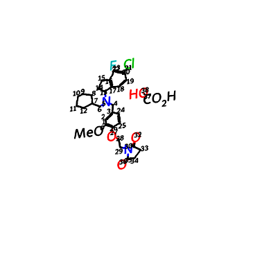 COc1cc(CN(CC2CCCCC2)[C@H]2CCc3c2ccc(Cl)c3F)ccc1OCCN1C(=O)CCC1=O.O=C(O)O